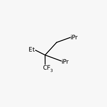 CCC(CC(C)C)(C(C)C)C(F)(F)F